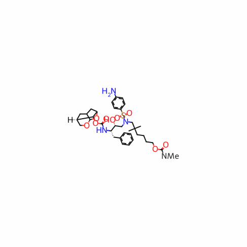 CNC(=O)OCCCCC(C)(C)CN(C[C@@H](O)[C@H](Cc1ccccc1)NC(=O)OC1C2CC3C[C@@H]1COC3O2)S(=O)(=O)c1ccc(N)cc1